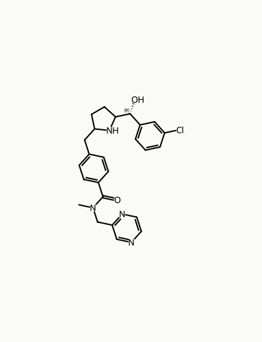 CN(Cc1cnccn1)C(=O)c1ccc(CC2CCC([C@H](O)c3cccc(Cl)c3)N2)cc1